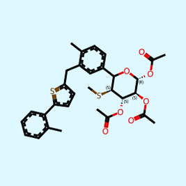 CS[C@H]1C(c2ccc(C)c(Cc3ccc(-c4ccccc4C)s3)c2)O[C@H](OC(C)=O)[C@@H](OC(C)=O)[C@@H]1OC(C)=O